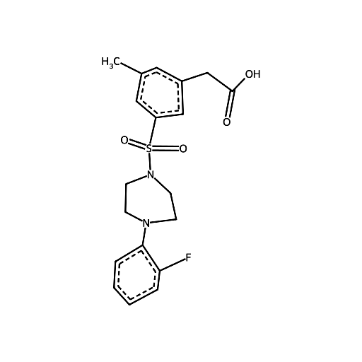 Cc1cc(CC(=O)O)cc(S(=O)(=O)N2CCN(c3ccccc3F)CC2)c1